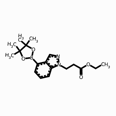 CCOC(=O)CCn1ncc2c(B3OC(C)(C)C(C)(C)O3)cccc21